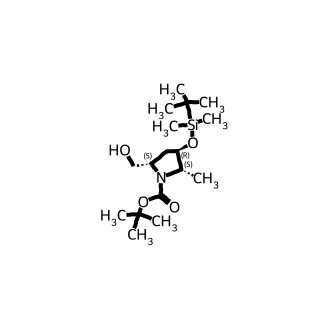 C[C@H]1[C@H](O[Si](C)(C)C(C)(C)C)C[C@@H](CO)N1C(=O)OC(C)(C)C